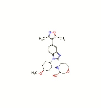 CO[C@H]1CC[C@H](n2c([C@@H]3CCOCC(O)N3)nc3cc(-c4c(C)noc4C)ccc32)CC1